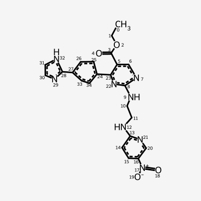 CCOC(=O)c1cnc(NCCNc2ccc([N+](=O)[O-])cn2)nc1-c1ccc(-c2ncc[nH]2)cc1